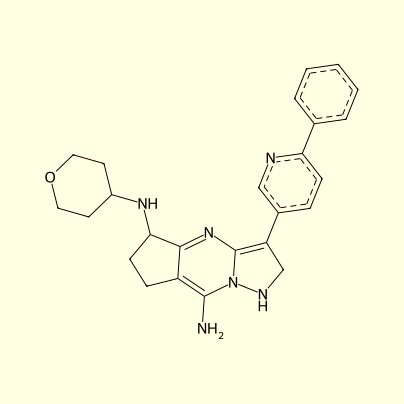 NC1=C2CCC(NC3CCOCC3)C2=NC2=C(c3ccc(-c4ccccc4)nc3)CNN12